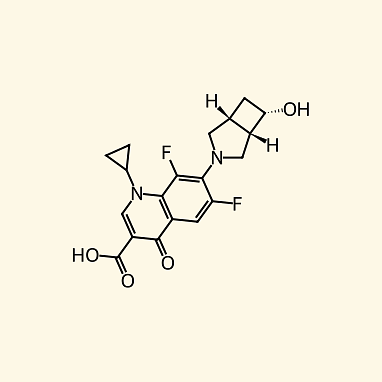 O=C(O)c1cn(C2CC2)c2c(F)c(N3C[C@@H]4C[C@H](O)[C@@H]4C3)c(F)cc2c1=O